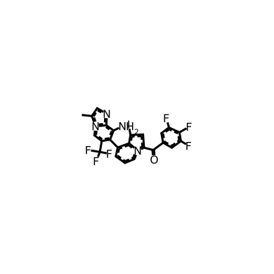 Cc1cnc2c(N)c(-c3cccn4c(C(=O)c5cc(F)c(F)c(F)c5)cc(I)c34)c(C(F)(F)F)cn12